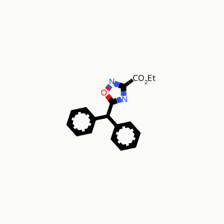 CCOC(=O)c1noc(C(c2ccccc2)c2ccccc2)n1